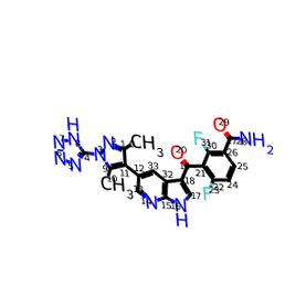 Cc1nn(-c2nnn[nH]2)c(C)c1-c1cnc2[nH]cc(C(=O)c3c(F)ccc(C(N)=O)c3F)c2c1